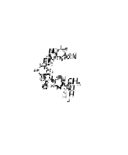 CCC1(Cn2cnc3ccc(C#N)cc32)CCCC2(CN(c3cnc(C(C)(C)O)nc3)C(=O)O2)C1